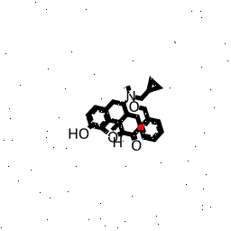 CN(CC1CC1)[C@@H]1Cc2ccc(O)c3c2C2(C)[C@@H](O3)C(=O)CC[C@@]12OCc1ccccc1